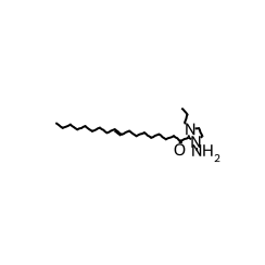 CCCCCCCCC=CCCCCCCCC(=O)C1N(N)CCN1CCC